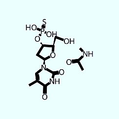 CNC(C)=O.Cc1cn([C@H]2C[C@H](OP(O)(O)=S)[C@@H](CO)O2)c(=O)[nH]c1=O